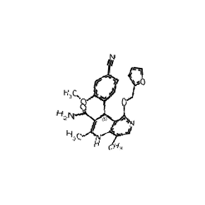 COc1cc(C#N)ccc1[C@@H]1C(C(N)=O)=C(C)Nc2c(C)cnc(OCc3ccco3)c21